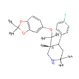 [2H]C1([2H])CC(c2ccc(F)cc2)[C@@]([2H])(C([2H])([2H])Oc2ccc3c(c2)OC([2H])([2H])O3)CN1